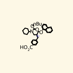 CCCCOC(=O)N(C/C(=C\c1ccc(C(=O)O)cc1)COc1cccc2ccccc12)C1CCCCC1